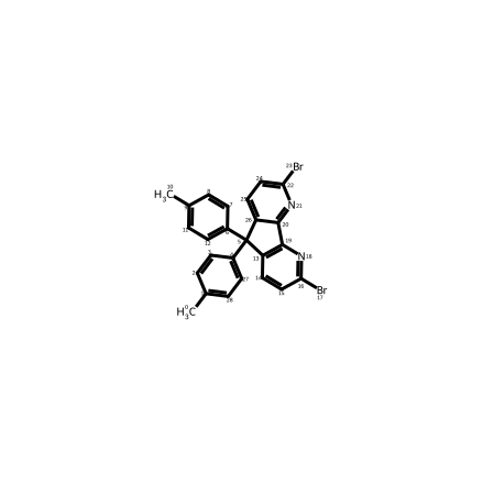 Cc1ccc(C2(c3ccc(C)cc3)c3ccc(Br)nc3-c3nc(Br)ccc32)cc1